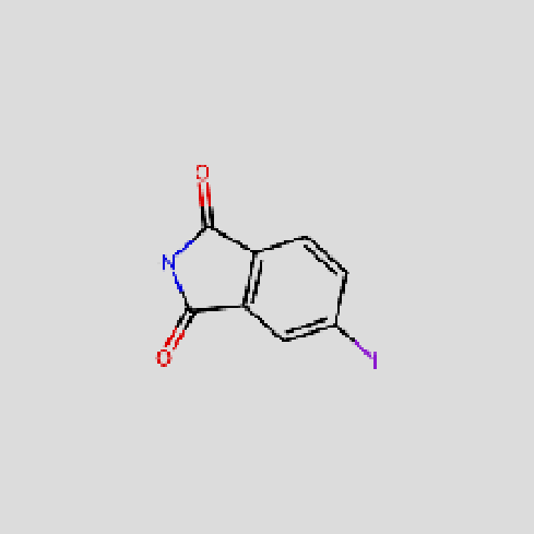 O=C1[N]C(=O)c2cc(I)ccc21